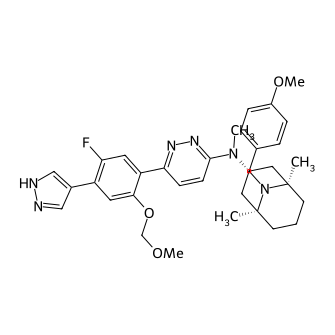 COCOc1cc(-c2cn[nH]c2)c(F)cc1-c1ccc(N(C)[C@H]2C[C@]3(C)CCC[C@](C)(C2)N3Cc2ccc(OC)cc2)nn1